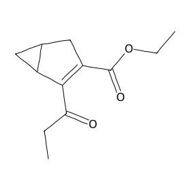 CCOC(=O)C1=C(C(=O)CC)C2CC2C1